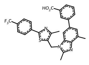 Cc1nc(-c2ccc(C(F)(F)F)cc2)sc1Cn1c(C)nc2c(C)cc(-c3cccc(C(=O)O)c3)cc21